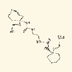 CC(C)(C)N=NC1(NC(=S)NCCNC(=S)NC2(N=NC(C)(C)C)CCCCC2)CCCCC1